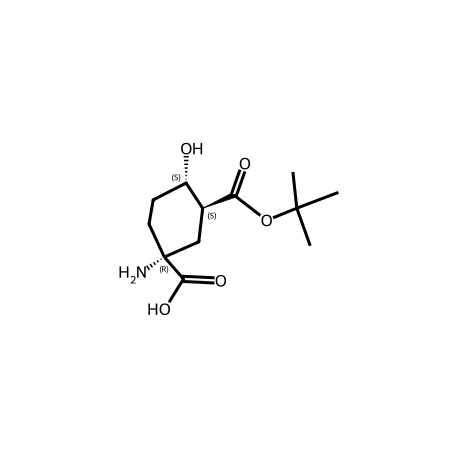 CC(C)(C)OC(=O)[C@H]1C[C@@](N)(C(=O)O)CC[C@@H]1O